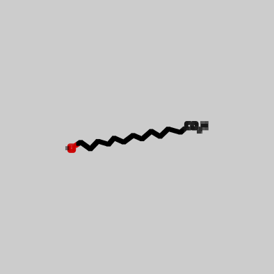 [O]CCCCCCCCCCCCC(=O)O